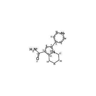 NC(=O)c1cc(-c2ccncc2)n2c1CCCC2